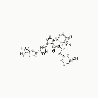 CC1(C)CCC(c2nc(-c3ncn4c3c(=O)n(CCN3CCCC(O)C3)c3c(C#N)c(Cl)ccc34)no2)O1